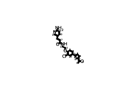 CC(=O)c1ccc(-c2ccc(OCCNC(=O)C=Cc3ccc(N)nc3)c(Cl)c2)s1